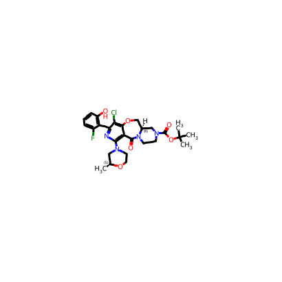 C[C@H]1CN(c2nc(-c3c(O)cccc3F)c(Cl)c3c2C(=O)N2CCN(C(=O)OC(C)(C)C)C[C@@H]2CO3)CCO1